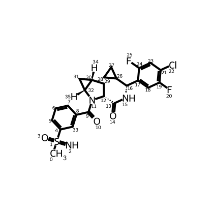 CS(=N)(=O)c1cccc(C(=O)N2[C@@H](C(=O)N[C@@H](c3cc(F)c(Cl)cc3F)C3CC3)C[C@H]3C[C@H]32)c1